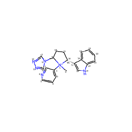 C[N+]1(c2cccnc2)C(n2cnnc2)CC[C@@H]1c1c[nH]c2ccccc12